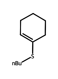 CCCCSC1=CCCCC1